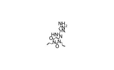 C=CCn1c(=O)c2[nH]c(-c3cc(N)nn3C)nc2n(CC=C)c1=O